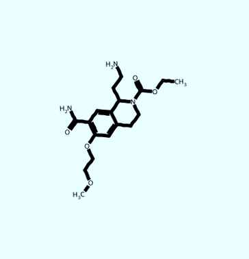 CCOC(=O)N1CCc2cc(OCCOC)c(C(N)=O)cc2C1CCN